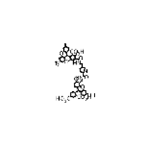 C=c1ccc2c(c1)Oc1cc(N(C)C)ccc1C=2c1c(Cl)cc(C(=O)NCc2ccc(C(=O)NCc3c4oc5cc(O)ccc5c(-c5ccc(C(=O)O)cc5C(=O)O)c-4ccc3=O)nc2)c(Cl)c1C(=O)O